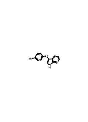 Brc1ccc(Oc2c[nH]c3ncccc23)cc1